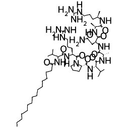 CCCCCCCCCCCCCCCC(=O)N[C@H](C(=O)N[C@@H](CCCNC(=N)N)C(=O)N1CCC[C@H]1C(=O)N[C@H](C(=O)N[C@@H](C)C(=O)N[C@@H](CC(N)=O)C(=O)N[C@@H](C)C(=O)N[C@H](C)CCCNC(N)N)C(C)C)C(C)C